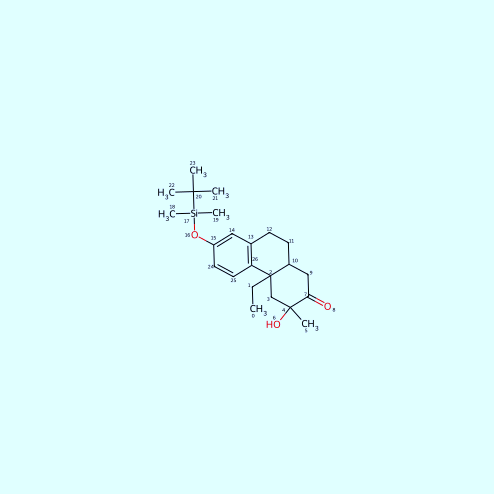 CCC12CC(C)(O)C(=O)CC1CCc1cc(O[Si](C)(C)C(C)(C)C)ccc12